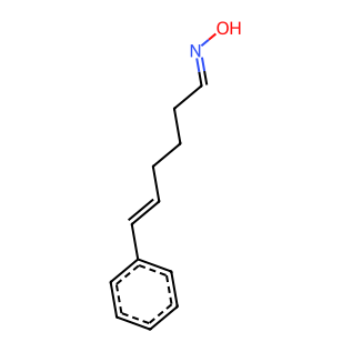 O/N=C/CCCC=Cc1ccccc1